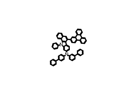 c1ccc(-c2ccc(N(c3cccc(-c4ccccc4)c3)c3ccc4c5c(-c6ccc7c8ccccc8c8ccccc8c7c6)cc6ccccc6c5n(-c5ccccc5)c4c3)cc2)cc1